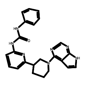 O=C(Nc1ccccc1)Nc1cccc(C2CCCN(c3ncnc4[nH]ccc34)C2)n1